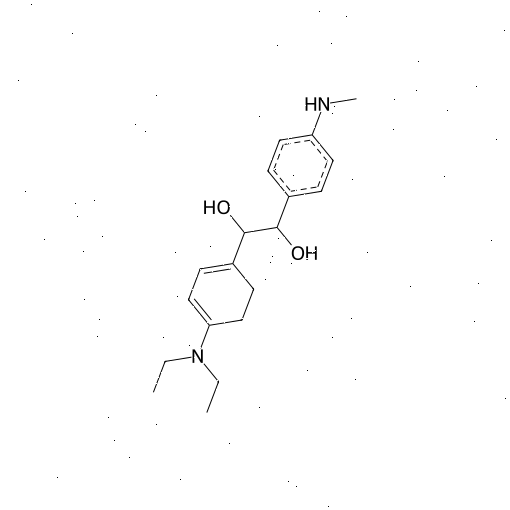 CCN(CC)C1=CC=C(C(O)C(O)c2ccc(NC)cc2)CC1